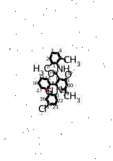 Cc1cccc(C)c1NC(=O)c1c(-c2ccccc2Cl)n(-c2ccc(Cl)cc2)c(C)cc1=O